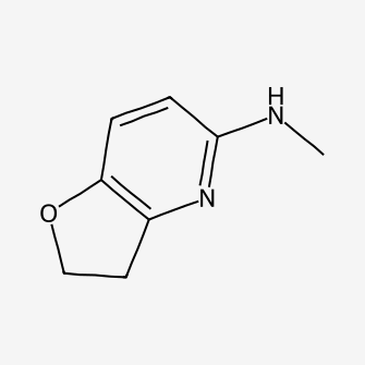 CNc1ccc2c(n1)CCO2